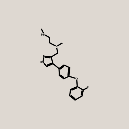 CNCCN(C)Cc1n[nH]cc1-c1ccc(Oc2ccccc2F)cc1